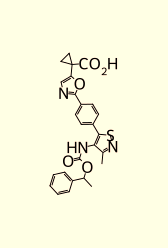 Cc1nsc(-c2ccc(-c3ncc(C4(C(=O)O)CC4)o3)cc2)c1NC(=O)OC(C)c1ccccc1